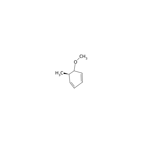 COC1C=CC=C[C@H]1C